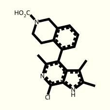 Cc1nc(Cl)c2[nH]c(C)c(C)c2c1-c1cccc2c1CCN(C(=O)O)C2